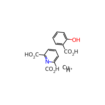 O=C(O)c1cccc(C(=O)O)n1.O=C(O)c1ccccc1O.[Cu].[H+]